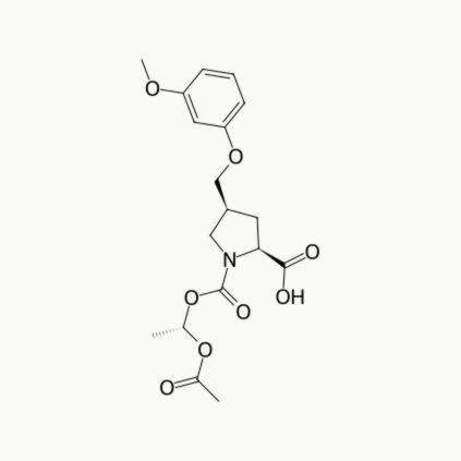 COc1cccc(OC[C@H]2C[C@@H](C(=O)O)N(C(=O)O[C@@H](C)OC(C)=O)C2)c1